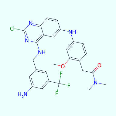 COc1cc(Nc2ccc3nc(Cl)nc(NCc4cc(N)cc(C(F)(F)F)c4)c3c2)ccc1CC(=O)N(C)C